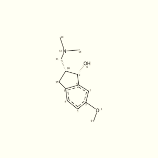 COc1ccc2c(c1)[C@@H](O)[C@@H](CN(C)C)C2